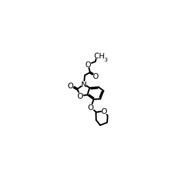 CCOC(=O)Cn1c(=O)oc2c(OC3CCCCO3)cccc21